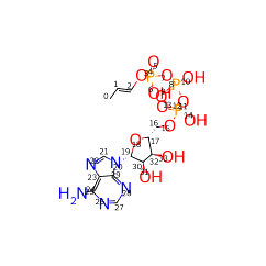 CC=COP(=O)(O)OP(=O)(O)OP(=O)(O)OC[C@H]1O[C@@H](n2cnc3c(N)ncnc32)[C@H](O)[C@@H]1O